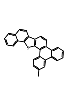 Cc1ccc2c(c1)c1ccccc1c1ccc3c4ccc5ccccc5c4sc3c12